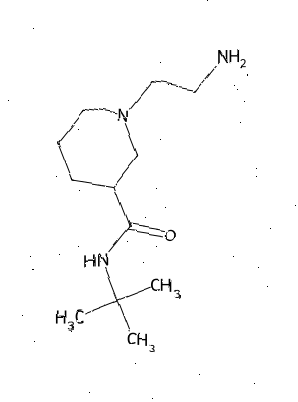 CC(C)(C)NC(=O)C1CCCN(CCN)C1